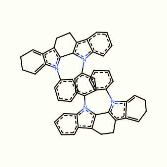 C1=c2c3c(n(-c4ccccc4)c2=CCC1)-c1c(c2ccccc2n1-c1ccc(-n2c4c(c5ccccc52)CCc2c-4n(-c4ccccc4)c4c2=CCCC=4)cc1)CC3